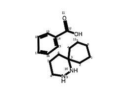 C1CCC2(CC1)CCCNN2.O=C(O)c1ccccc1